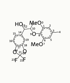 COc1cc(C)cc(OC)c1OC(C)C(O)c1ccc2c(c1)OC(F)(F)O2